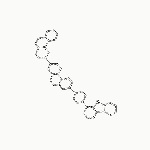 c1ccc2c(c1)ccc1ccc(-c3ccc4c(ccc5cc(-c6ccc(-c7cccc8c7sc7ccccc78)cc6)ccc54)c3)cc12